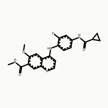 CNC(=O)c1cc2nccc(Nc3ccc(NC(=O)C4CC4)cc3F)c2cc1OC